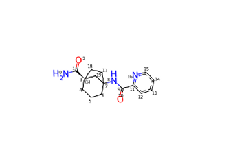 NC(=O)[C@@]12CCCC(NC(=O)c3ccccn3)(CC1)C2